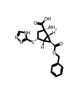 N[C@@]1(C(=O)O)C[C@@H](Sc2nnc[nH]2)[C@H]2[C@H](C(=O)OCc3ccccc3)[C@H]21